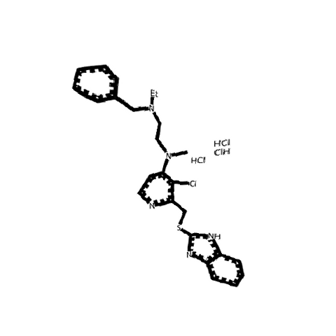 CCN(CCN(C)c1ccnc(CSc2nc3ccccc3[nH]2)c1Cl)Cc1ccccc1.Cl.Cl.Cl